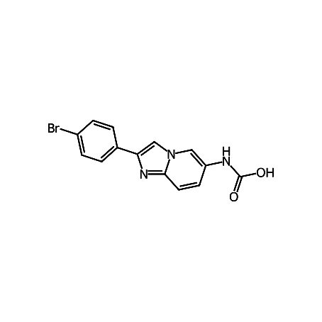 O=C(O)Nc1ccc2nc(-c3ccc(Br)cc3)cn2c1